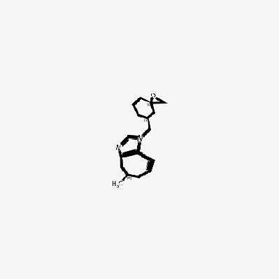 C[C@@H]1CC=Cc2c(ncn2C[C@H]2CCC[C@@]3(CO3)C2)C1